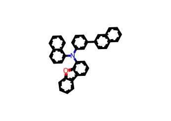 c1cc(-c2ccc3ccccc3c2)cc(N(c2cccc3ccccc23)c2cccc3c2oc2ccccc23)c1